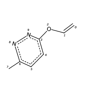 C=COc1ccc(C)nn1